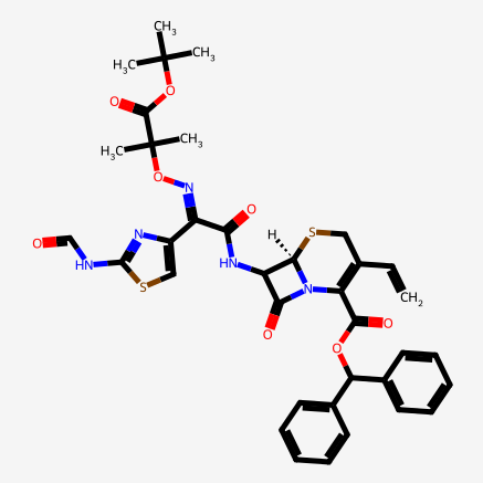 C=CC1=C(C(=O)OC(c2ccccc2)c2ccccc2)N2C(=O)C(NC(=O)/C(=N/OC(C)(C)C(=O)OC(C)(C)C)c3csc(NC=O)n3)[C@H]2SC1